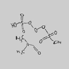 CN(C)C=O.O=S(=O)(O)OOOS(=O)(=O)O